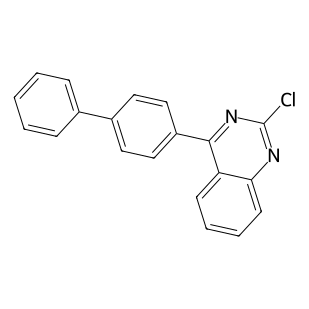 Clc1nc(-c2ccc(-c3ccccc3)cc2)c2ccccc2n1